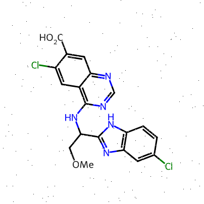 COCC(Nc1ncnc2cc(C(=O)O)c(Cl)cc12)c1nc2cc(Cl)ccc2[nH]1